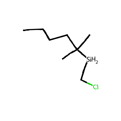 CCCCC(C)(C)[SiH2]CCl